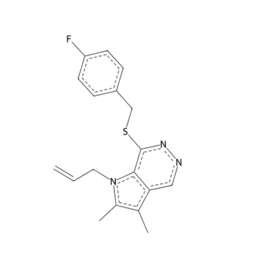 C=CCn1c(C)c(C)c2cnnc(SCc3ccc(F)cc3)c21